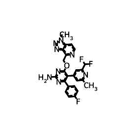 Cc1cc(-c2c(OCc3nccc4c3nnn4C)nc(N)nc2-c2ccc(F)cc2)cc(C(F)F)n1